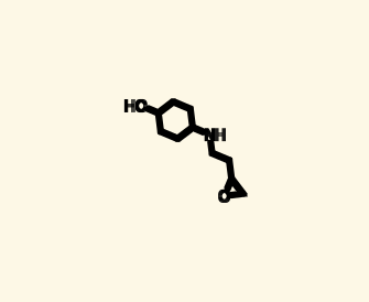 OC1CCC(NCCC2CO2)CC1